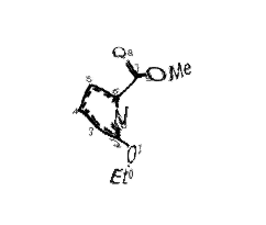 CCOc1cccc(C(=O)OC)n1